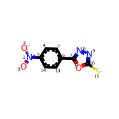 O=[N+]([O-])c1ccc(-c2nnc([S])o2)cc1